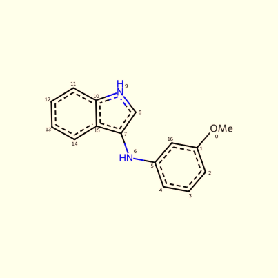 COc1cccc(Nc2c[nH]c3ccccc23)c1